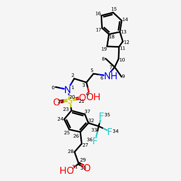 CN(CC(O)CNC(C)(C)CC1Cc2ccccc2C1)S(=O)(=O)c1ccc(CCC(=O)O)c(C(F)(F)F)c1